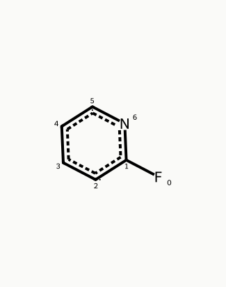 Fc1[c]cc[c]n1